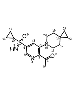 CC(=O)c1ncc(S(=N)(=O)C2CC2)cc1N1CCC2(CC1)CC2